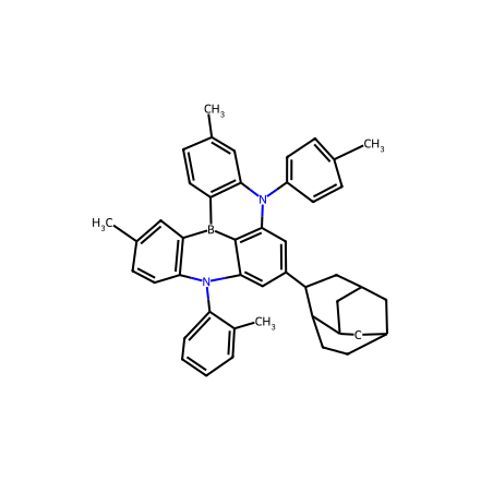 Cc1ccc(N2c3cc(C)ccc3B3c4cc(C)ccc4N(c4ccccc4C)c4cc(C5CC6CC7CCC5C(C7)C6)cc2c43)cc1